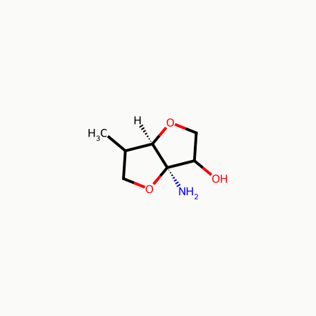 CC1CO[C@]2(N)C(O)CO[C@H]12